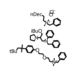 CC(C)(C)CC(C)(C)c1ccc(OCCOCC[N+](C)(C)Cc2ccccc2)cc1.CC(C)COCC(CN(Cc1ccccc1)c1ccccc1)N1CCCC1.CCCCCCCCCCCC[N+](C)(C)Cc1ccccc1.[Cl-].[Cl-]